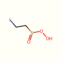 O=S(CCI)OO